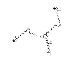 CCN(CC)CCCOC(=O)OCc1cc(CCCCCC/C=C\C/C=C\CCCCCCCC(=O)O)cc(CCCCCC/C=C\C/C=C\CCCCCCCC(=O)O)c1